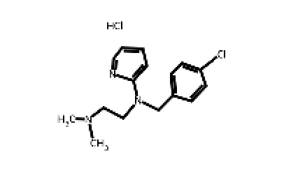 CN(C)CCN(Cc1ccc(Cl)cc1)c1ccccn1.Cl